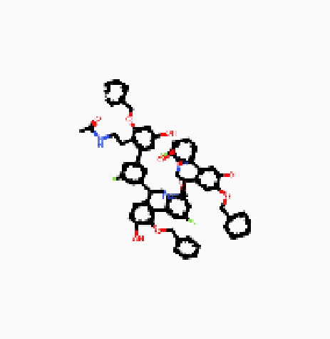 CC(=O)NCCc1c(OCc2ccccc2)cc(O)cc1-c1cc(F)cc(C(CNC(C)=O)c2ccc(O)c(OCc3ccccc3)c2-c2cc(F)cc(C(CNC(C)=O)c3cc(OCc4ccccc4)c(O)cc3-c3cccc(F)c3)c2)c1